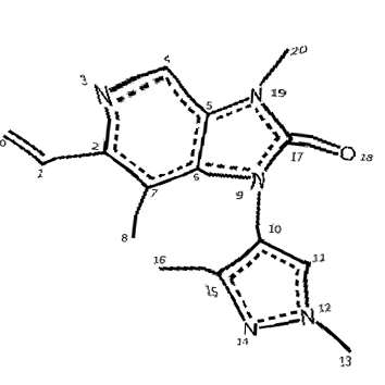 C=Cc1ncc2c(c1C)n(-c1cn(C)nc1C)c(=O)n2C